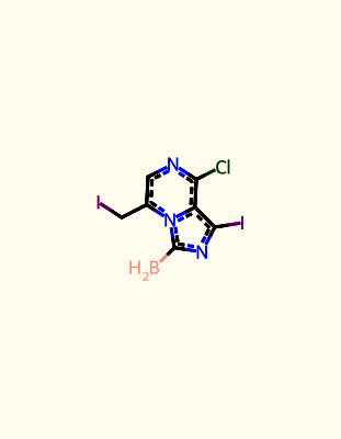 Bc1nc(I)c2c(Cl)ncc(CI)n12